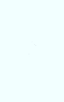 COC(=O)c1cc(I)c[nH]1.[Ar]